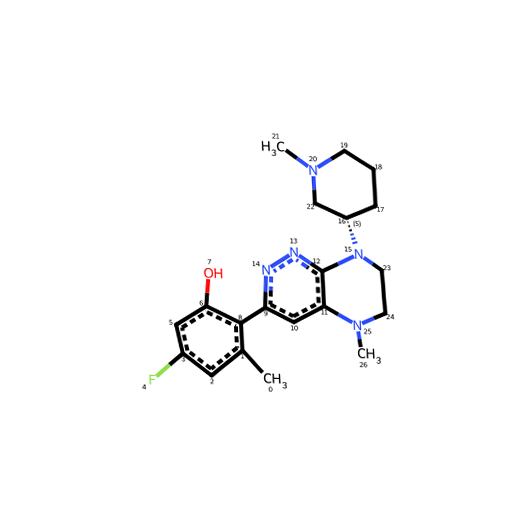 Cc1cc(F)cc(O)c1-c1cc2c(nn1)N([C@H]1CCCN(C)C1)CCN2C